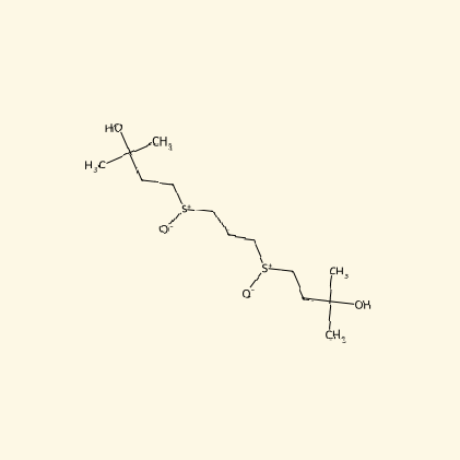 CC(C)(O)CC[S+]([O-])CCC[S+]([O-])CCC(C)(C)O